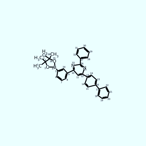 CC1(C)OB(c2cccc(-c3cc(-c4ccc(-c5ccccc5)cc4)nc(-c4ccccc4)n3)c2)OC1(C)C